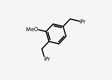 COc1cc(CC(C)C)ccc1CC(C)C